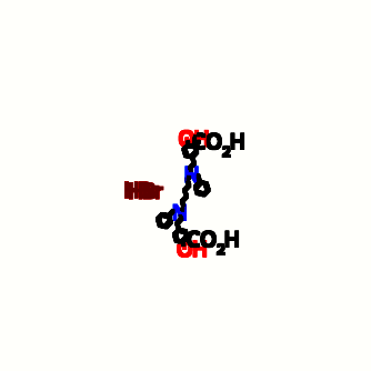 Br.Br.O=C(O)c1cc(CCN(CCCCCCN(CCc2ccc(O)c(C(=O)O)c2)Cc2ccccc2)Cc2ccccc2)ccc1O